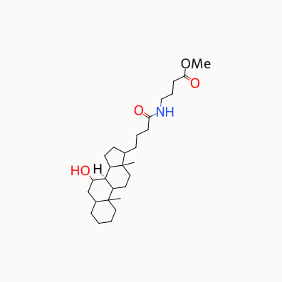 COC(=O)CCCNC(=O)CCCC1CCC2[C@@H]3C(O)CC4CCCCC4(C)C3CCC12C